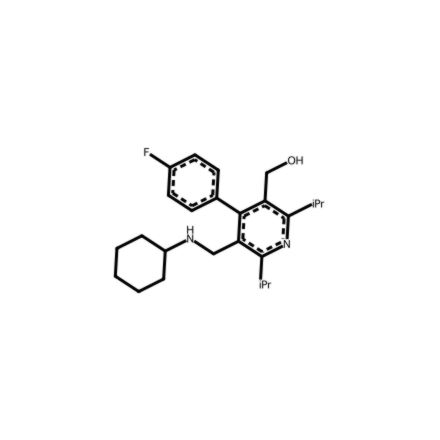 CC(C)c1nc(C(C)C)c(CNC2CCCCC2)c(-c2ccc(F)cc2)c1CO